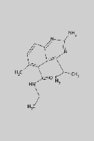 CCNC(=O)c1c(C)ccc2nc(N)nc(C(C)C)c12